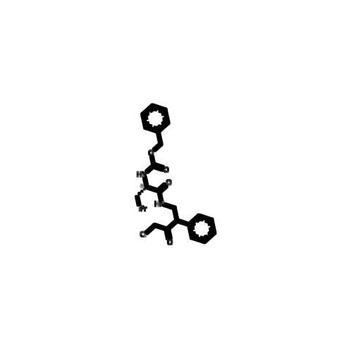 CC(C)C[C@H](NC(=O)OCc1ccccc1)C(=O)NCC(C(=O)CCl)c1ccccc1